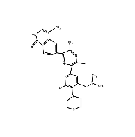 Cc1c[nH]c(=O)c2ccc(-c3nc(-c4cc(F)c(N5CCOCC5)c(CN(C)C)c4)c(F)nc3N)cc12